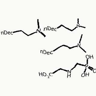 CCCCCCCCCCCCN(C)C.CCCCCCCCCCCCN(C)C.CCCCCCCCCCCCN(C)C.O=C(O)CNCP(=O)(O)O